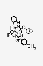 Cc1ccc(S(=O)(=O)N(CC(C)C)C[C@@H](O)[C@H](Cc2ccccc2)NC(=O)OC2CCOC2)cc1